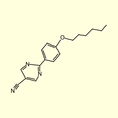 CCCCCCOc1ccc(-c2ncc(C#N)cn2)cc1